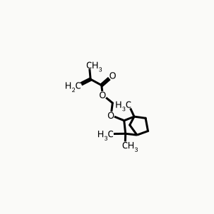 C=C(C)C(=O)OCOC1C2(C)CCC(C2)C1(C)C